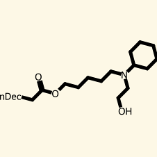 CCCCCCCCCCCC(=O)OCCCCCN(CCO)C1CCCCC1